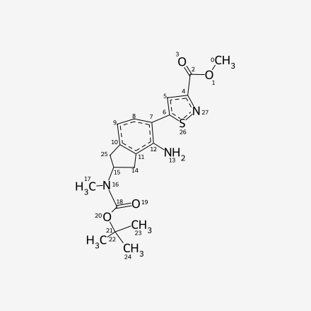 COC(=O)c1cc(-c2ccc3c(c2N)CC(N(C)C(=O)OC(C)(C)C)C3)sn1